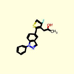 CC(O)Cc1c(F)csc1-c1ccc2c(cnn2-c2ccccc2)c1